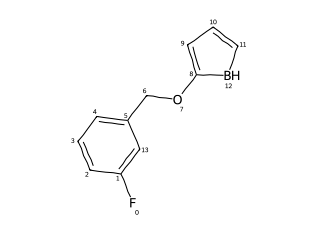 Fc1cccc(COC2=CC=CB2)c1